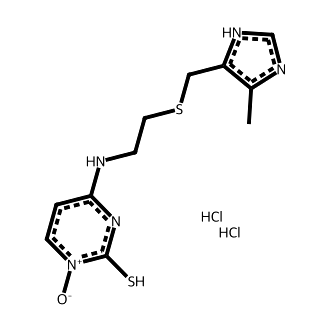 Cc1nc[nH]c1CSCCNc1cc[n+]([O-])c(S)n1.Cl.Cl